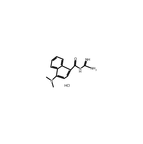 CN(C)c1ccc(C(=O)NC(=N)N)c2ccccc12.Cl